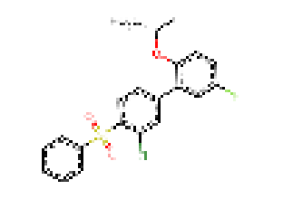 C[C@H](Oc1ccc(F)cc1-c1ccc(S(=O)(=O)c2ccccc2)c(Cl)c1)C(=O)O